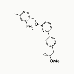 COC(=O)Cc1ccc(-c2cccc(OCc3ccc(C)cc3P)n2)cc1